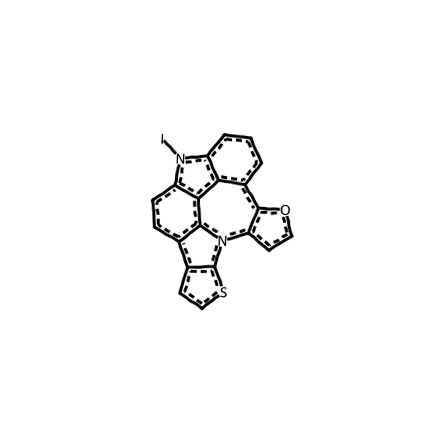 In1c2cccc3c4occc4n4c5sccc5c5ccc1c(c32)c54